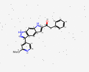 COc1cc(-c2n[nH]c3cc4[nH]c(C(=O)Cc5ccccc5)cc4cc23)ccn1